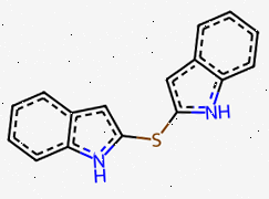 c1ccc2[nH]c(Sc3cc4ccccc4[nH]3)cc2c1